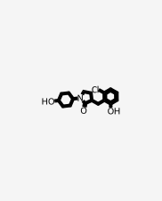 O=C1C(Cc2c(O)cccc2Cl)CCN1C1CCC(O)CC1